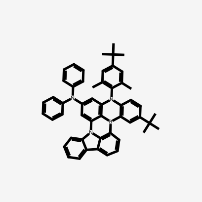 Cc1cc(C(C)(C)C)cc(C)c1N1c2ccc(C(C)(C)C)cc2B2c3c1cc(N(c1ccccc1)c1ccccc1)cc3-n1c3ccccc3c3cccc2c31